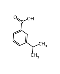 CC(C)c1cccc(S(=O)O)c1